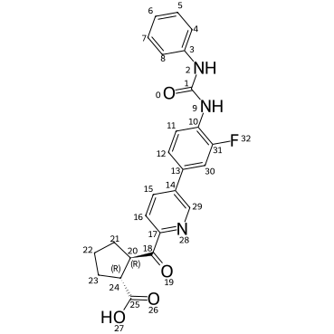 O=C(Nc1ccccc1)Nc1ccc(-c2ccc(C(=O)[C@@H]3CCC[C@H]3C(=O)O)nc2)cc1F